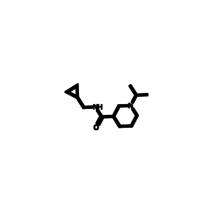 CC(C)N1CCCC(C(=O)NCC2CC2)C1